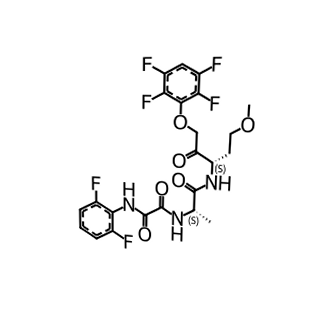 COCC[C@H](NC(=O)[C@H](C)NC(=O)C(=O)Nc1c(F)cccc1F)C(=O)COc1c(F)c(F)cc(F)c1F